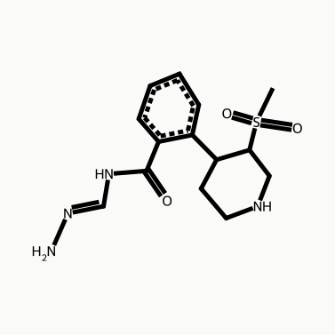 CS(=O)(=O)C1CNCCC1c1ccccc1C(=O)NC=NN